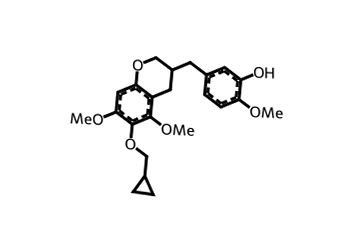 COc1ccc(CC2COc3cc(OC)c(OCC4CC4)c(OC)c3C2)cc1O